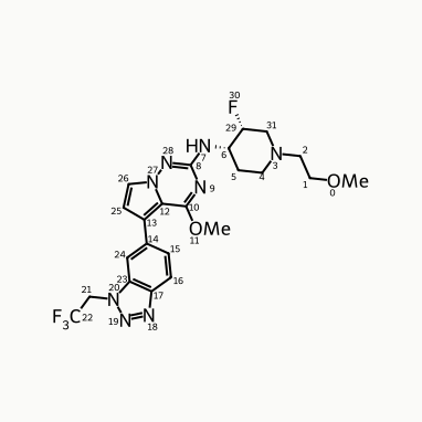 COCCN1CC[C@H](Nc2nc(OC)c3c(-c4ccc5nnn(CC(F)(F)F)c5c4)ccn3n2)[C@H](F)C1